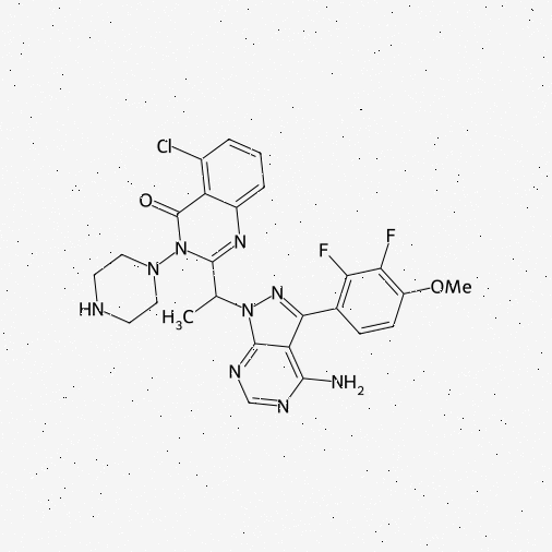 COc1ccc(-c2nn(C(C)c3nc4cccc(Cl)c4c(=O)n3N3CCNCC3)c3ncnc(N)c23)c(F)c1F